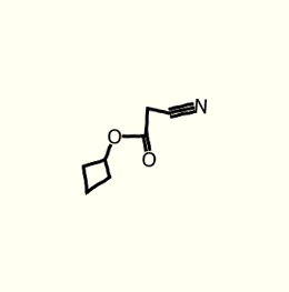 N#CCC(=O)OC1CCC1